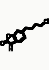 O=c1[nH]c2ccc(CCCCCl)cc2o1